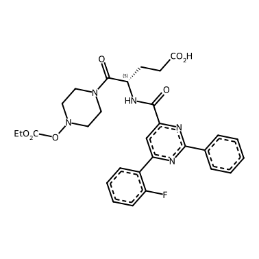 CCOC(=O)ON1CCN(C(=O)[C@H](CCC(=O)O)NC(=O)c2cc(-c3ccccc3F)nc(-c3ccccc3)n2)CC1